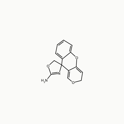 NC1=NC2(CO1)C1=COCC=C1Oc1ccccc12